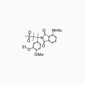 CCOc1cc(C(C)(N2C(=O)c3cccc(NC(C)=O)c3C2=O)C(C)(C)S(C)(=O)=O)ccc1OC